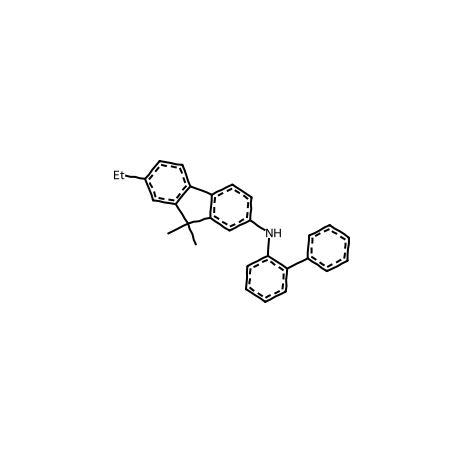 CCc1ccc2c(c1)C(C)(C)c1cc(Nc3ccccc3-c3ccccc3)ccc1-2